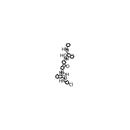 O=C1c2cc(N=Nc3c(O)c(CONc4ccccc4)cc4ccccc34)ccc2-c2ccc(N=Nc3c(O)c(C(=O)Nc4ccc(Cl)cc4)cc4ccccc34)cc21